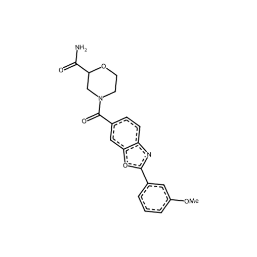 COc1cccc(-c2nc3ccc(C(=O)N4CCOC(C(N)=O)C4)cc3o2)c1